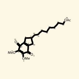 COC1=C(OC)C(=O)C2=C(CC(CCCCCCCCOC(C)=O)C2)C1=O